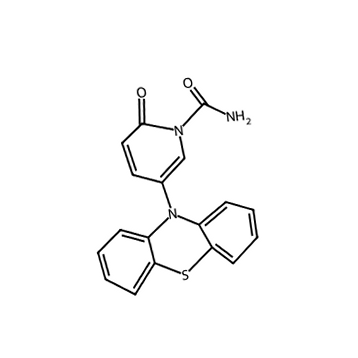 NC(=O)n1cc(N2c3ccccc3Sc3ccccc32)ccc1=O